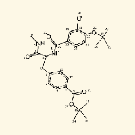 CNC(=O)C(Cc1ccc(C(=O)OC(C)(C)C)cc1)NC(=O)c1ccc(OC(C)(C)C)c(Cl)c1